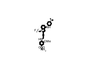 COc1cc(S(N)(=O)=O)ccc1NCC#Cc1cc2c(N[C@H]3CC[C@H](N(C)C)CC3)cccc2n1CC(F)(F)F